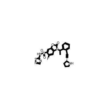 CC(c1ccccc1C#C[C@H]1CCCN1)n1c(=O)oc2cc(S(=O)(=O)Nc3ncns3)c(F)cc21